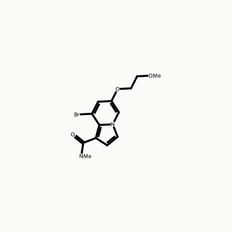 CNC(=O)c1ccn2cc(OCCOC)cc(Br)c12